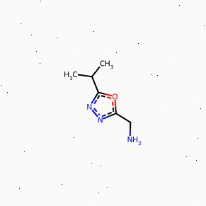 CC(C)c1nnc(CN)o1